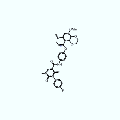 C=Nc1cc(OC)c2c(c1/C(=C\C)Oc1ccc(NC(=O)c3cn(C)c(=O)n(-c4ccc(F)cc4)c3=O)cc1)OCCO2